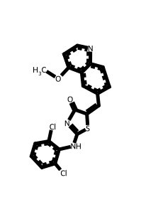 COc1ccnc2ccc(C=C3SC(Nc4c(Cl)cccc4Cl)=NC3=O)cc12